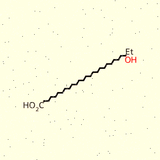 CCC(O)CCCCCCCCCCCCCCCCCCCCCCCC(=O)O